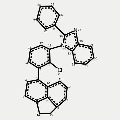 Clc1c(-c2ccc3c4c(cccc24)CC3)cccc1-n1c(-c2ccccc2)nc2ccccc21